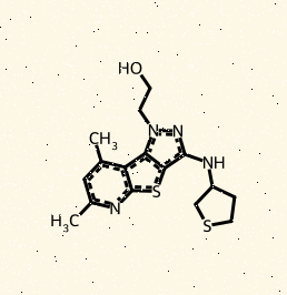 Cc1cc(C)c2c(n1)sc1c(NC3CCSC3)nn(CCO)c12